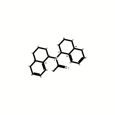 CC(=O)N(C1CCCC2CC=CC=C21)C1CCCC2CC=CC=C21